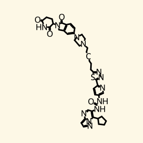 O=C1CCC(N2Cc3cc(N4CCN(CCCCCCc5nnc(-c6ccc(NC(=O)Nc7cnc8ccnn8c7C7CCCC7)cn6)s5)CC4)ccc3C2=O)C(=O)N1